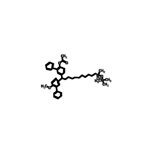 COc1ccc(C(CCCCCCCCCC[Si](C)(C)O[Si](C)(C)C)c2ccc(OC(C)=O)c(-c3ccccc3)c2)cc1-c1ccccc1